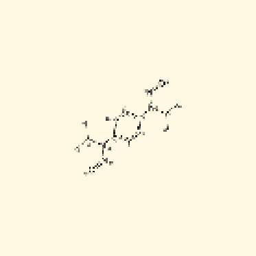 CC(C)N(N=O)c1ccc(N(N=O)C(C)C)cc1